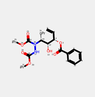 C=C[C@H](OC(=O)c1ccccc1)[C@H](O)[C@@H](CCC)N(NC(=O)OC(C)C)C(=O)OC(C)C